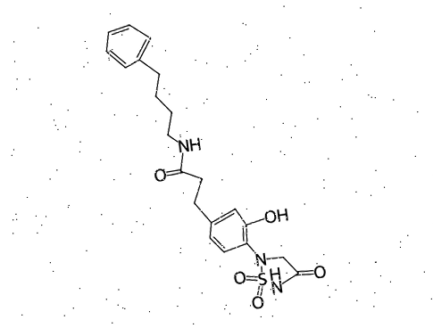 O=C(CCc1ccc(N2CC(=O)NS2(=O)=O)c(O)c1)NCCCCc1ccccc1